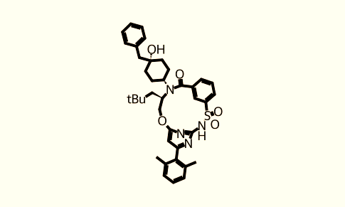 Cc1cccc(C)c1-c1cc2nc(n1)NS(=O)(=O)c1cccc(c1)C(=O)N([C@H]1CC[C@](O)(Cc3ccccc3)CC1)[C@H](CC(C)(C)C)CO2